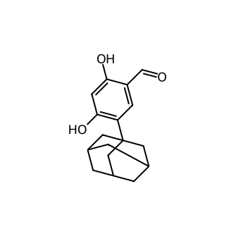 O=Cc1cc(C23CC4CC(CC(C4)C2)C3)c(O)cc1O